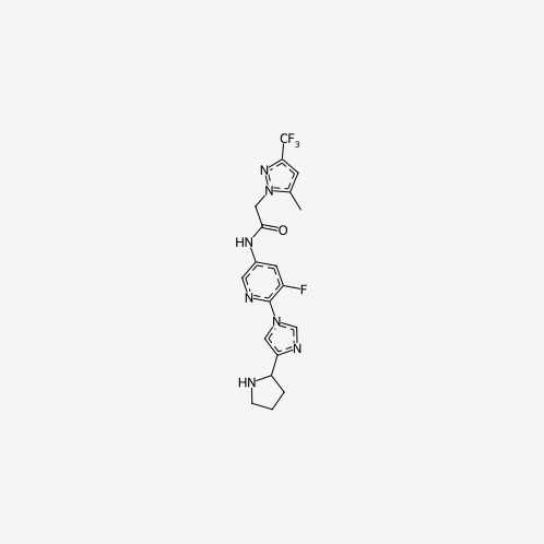 Cc1cc(C(F)(F)F)nn1CC(=O)Nc1cnc(-n2cnc(C3CCCN3)c2)c(F)c1